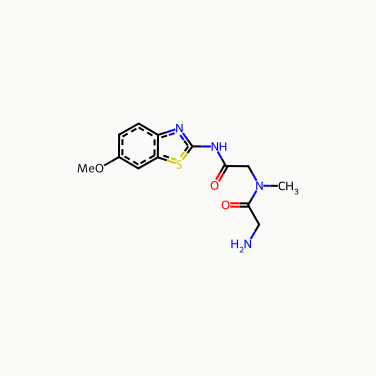 COc1ccc2nc(NC(=O)CN(C)C(=O)CN)sc2c1